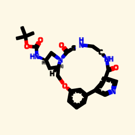 CC(C)(C)OC(=O)N[C@@H]1C[C@H]2COc3cccc(c3)-c3cncc(c3)C(=O)NCCNCC(=O)N2C1